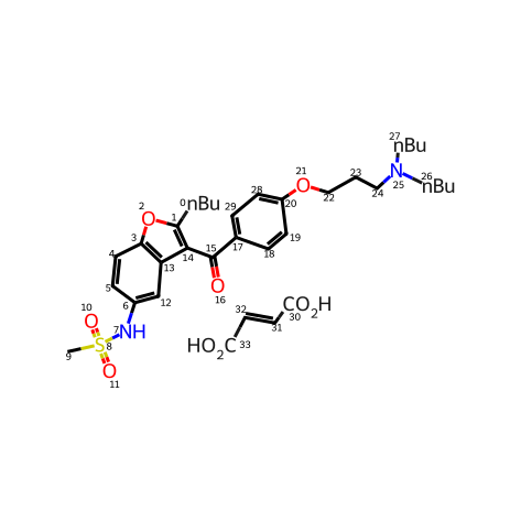 CCCCc1oc2ccc(NS(C)(=O)=O)cc2c1C(=O)c1ccc(OCCCN(CCCC)CCCC)cc1.O=C(O)/C=C/C(=O)O